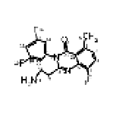 Cc1ccc(F)c2nc(CCN)n(-c3cc(F)cc(F)c3)c(=O)c12